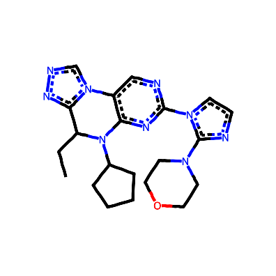 CCC1c2nncn2-c2cnc(-n3ccnc3N3CCOCC3)nc2N1C1CCCC1